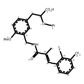 COc1ccc(CC(OC(C)C)C(=O)O)cc1CNC(=O)/C(C)=C/c1cccc(C(F)(F)F)c1F